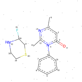 Cc1cc(=O)n(-c2ccccc2)c(C)n1.FC1CSCCN1